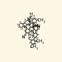 Cc1cc(C)c(-c2ccc3c4ccccc4n(-c4cc(C#N)cc(-n5c6ccccc6c6ccc(-c7c(C)cc(C)cc7C)cc65)c4-c4cc(C#N)cc(C#N)c4)c3c2)c(C)c1